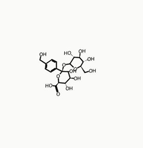 O=C(O)[C@H]1O[C@](OC2O[C@H](CO)[C@@H](O)[C@H](O)[C@H]2O)(c2ccc(CO)cc2)[C@H](O)[C@@H](O)[C@@H]1O